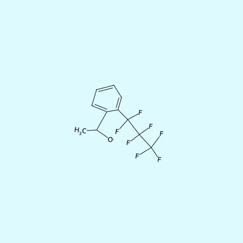 CC([O])c1ccccc1C(F)(F)C(F)(F)C(F)(F)F